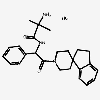 CC(C)(N)C(=O)NC(C(=O)N1CCC2(CCc3ccccc32)CC1)c1ccccc1.Cl